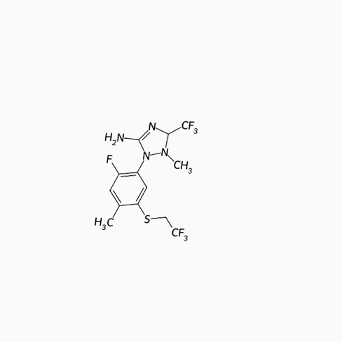 Cc1cc(F)c(N2C(N)=NC(C(F)(F)F)N2C)cc1SCC(F)(F)F